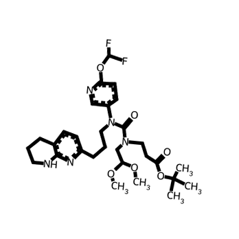 COC(CN(CCC(=O)OC(C)(C)C)C(=O)N(CCCc1ccc2c(n1)NCCC2)c1ccc(OC(F)F)nc1)OC